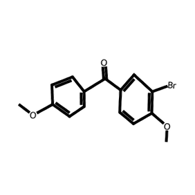 COc1ccc(C(=O)c2ccc(OC)c(Br)c2)cc1